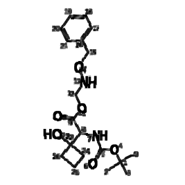 CC(C)(C)OC(=O)NC(C(=O)OCNOCc1ccccc1)C1(O)CCC1